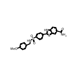 COc1ccc(CNS(=O)(=O)c2ccc(-c3nc4cc(C(N)=O)ccc4[nH]3)cc2)cc1